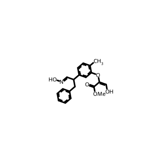 COC(=O)C(=CO)Oc1cc(C(C=NO)Cc2ccccc2)ccc1C